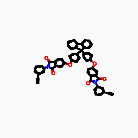 C#Cc1cccc(N2C(=O)c3ccc(Oc4ccc(C5(c6ccc(Oc7ccc8c(c7)C(=O)N(c7cccc(C#C)c7)C8=O)cc6)c6ccccc6-c6ccccc65)cc4)cc3C2=O)c1